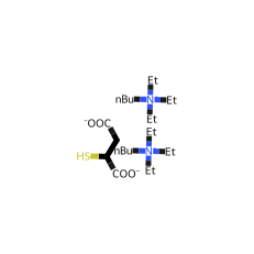 CCCC[N+](CC)(CC)CC.CCCC[N+](CC)(CC)CC.O=C([O-])CC(S)C(=O)[O-]